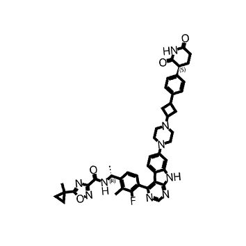 Cc1c([C@@H](C)NC(=O)c2noc(C3(C)CC3)n2)ccc(-c2ncnc3[nH]c4cc(N5CCN(C6CC(c7ccc([C@@H]8CCC(=O)NC8=O)cc7)C6)CC5)ccc4c23)c1F